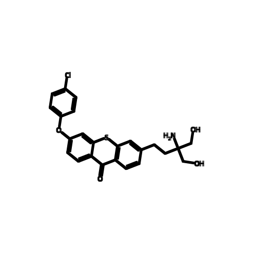 NC(CO)(CO)CCc1ccc2c(=O)c3ccc(Oc4ccc(Cl)cc4)cc3sc2c1